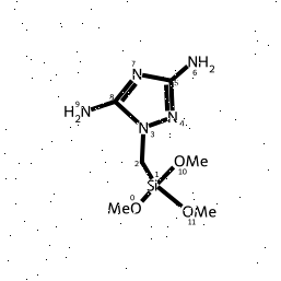 CO[Si](Cn1nc(N)nc1N)(OC)OC